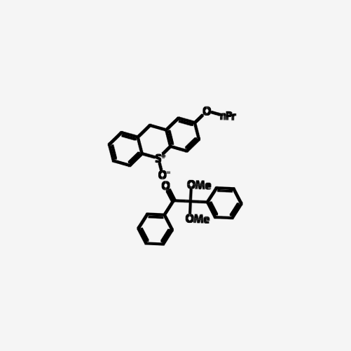 CCCOc1ccc2c(c1)Cc1ccccc1[S+]2[O-].COC(OC)(C(=O)c1ccccc1)c1ccccc1